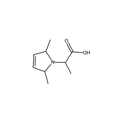 CC1C=CC(C)N1C(C)C(=O)O